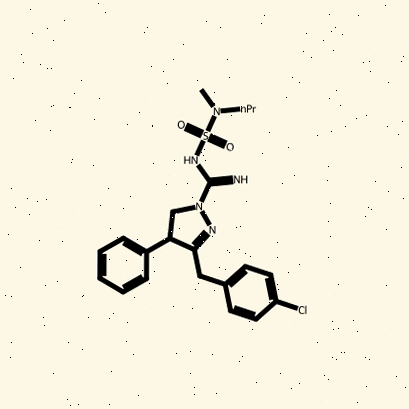 CCCN(C)S(=O)(=O)NC(=N)N1CC(c2ccccc2)C(Cc2ccc(Cl)cc2)=N1